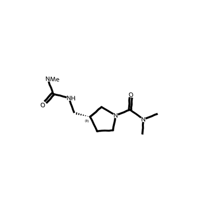 CNC(=O)NC[C@H]1CCN(C(=O)N(C)C)C1